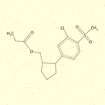 CCC(=O)OCC1CCCC1c1ccc(S(C)(=O)=O)c(Cl)c1